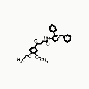 CCOc1ccc(C(=O)CCC(=O)Nc2ccn(Cc3ccccc3)c2-c2ccccc2)cc1OCC